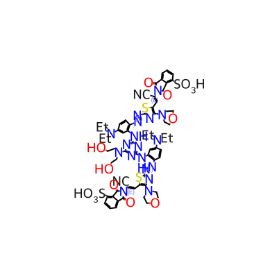 CCN(CC)c1ccc(/N=N/c2nc(N3CCOCC3)c(/C=C(\C#N)N3C(=O)c4cccc(S(=O)(=O)O)c4C3=O)s2)c(Nc2nc(Nc3cc(N(CC)CC)ccc3/N=N/c3nc(N4CCOCC4)c(/C=C(\C#N)N4C(=O)c5cccc(S(=O)(=O)O)c5C4=O)s3)nc(N(CCO)CCO)n2)c1